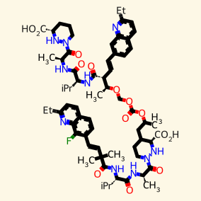 CCc1ccc2ccc(/C=C/[C@@H](C(=O)N[C@H](C(=O)N[C@@H](C)C(=O)N3CCC[C@@H](C(=O)O)N3)C(C)C)[C@H](C)OCOC(=O)OC(C)CC3CCN(C(=O)[C@H](C)NC(=O)[C@@H](NC(=O)C(C)(C)/C=C/c4ccc5ccc(CC)nc5c4F)C(C)C)N[C@@H]3C(=O)O)cc2n1